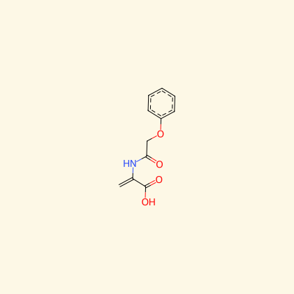 C=C(NC(=O)COc1ccccc1)C(=O)O